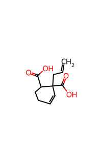 C=CCC1(C(=O)O)C=CCCC1C(=O)O